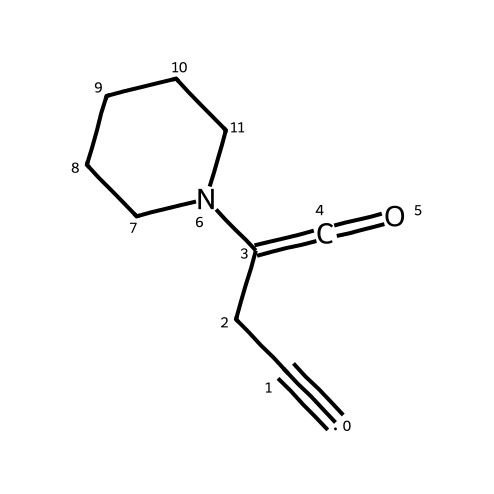 [C]#CCC(=C=O)N1CCCCC1